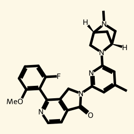 COc1cccc(F)c1-c1nccc2c1CN(c1cc(C)cc(N3C[C@H]4C[C@@H]3CN4C)n1)C2=O